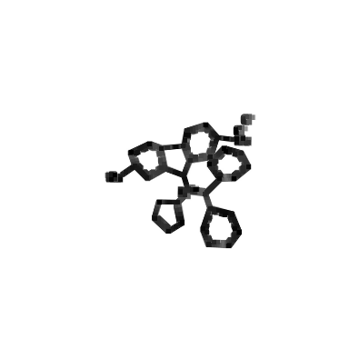 CC(C)(C)c1ccc2c(c1)[CH]([Hf+2]([C]1=CC=CC1)=[C](c1ccccc1)c1ccccc1)c1cc(C(C)(C)C)ccc1-2.[Cl-].[Cl-]